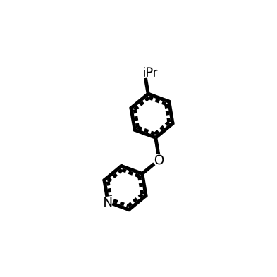 CC(C)c1ccc(Oc2ccncc2)cc1